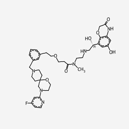 CN(CCNC[C@H](O)c1cc(O)cc2c1OCC(=O)N2)C(=O)CCOCCc1cccc(CN2CCC3(CC2)CN(c2cc(F)ccn2)CCO3)c1